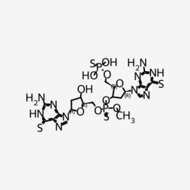 COP(=S)(OC[C@H]1O[C@@H](n2cnc3c(=S)[nH]c(N)nc32)CC1O)OC1C[C@H](n2cnc3c(=S)[nH]c(N)nc32)O[C@@H]1COP(O)(O)=S